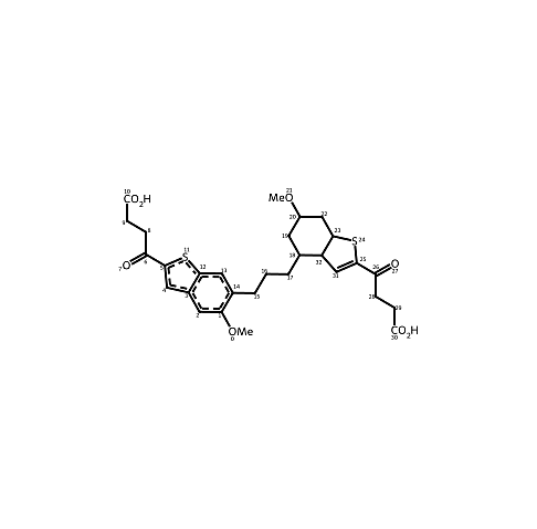 COc1cc2cc(C(=O)CCC(=O)O)sc2cc1CCCC1CC(OC)CC2SC(C(=O)CCC(=O)O)=CC12